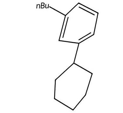 [CH2]CCCc1cccc(C2CCCCC2)c1